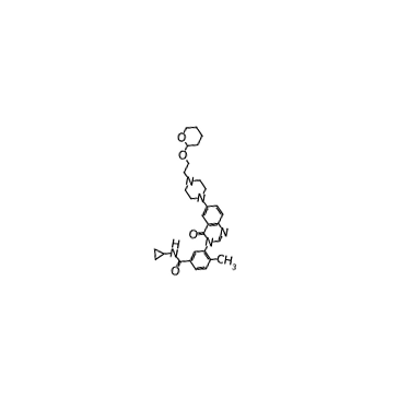 Cc1ccc(C(=O)NC2CC2)cc1-n1cnc2ccc(N3CCN(CCOC4CCCCO4)CC3)cc2c1=O